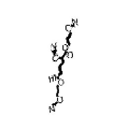 N#COCCCONCCCC(OC#N)C(=O)OCCCOC#N